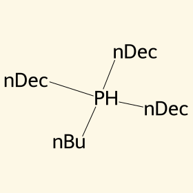 CCCCCCCCCC[PH](CCCC)(CCCCCCCCCC)CCCCCCCCCC